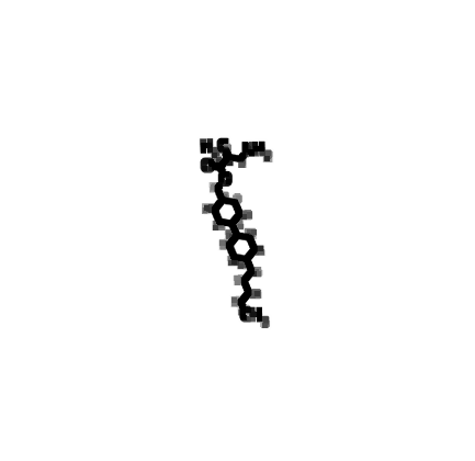 C=C(CN)C(=O)OCC1CCC(C2CCC(CCCCC)CC2)CC1